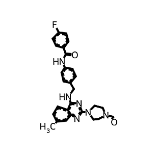 Cc1ccc2c(NCc3ccc(NC(=O)c4ccc(F)cc4)cc3)nc(N3CCN(C=O)CC3)nc2c1